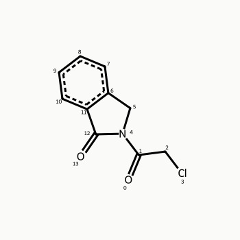 O=C(CCl)N1Cc2ccccc2C1=O